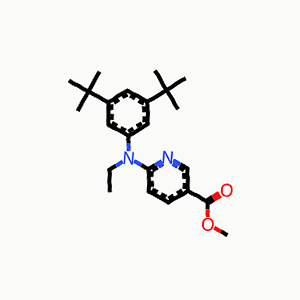 CCN(c1cc(C(C)(C)C)cc(C(C)(C)C)c1)c1ccc(C(=O)OC)cn1